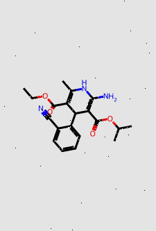 CCOC(=O)C1=C(C)NC(N)=C(C(=O)OC(C)C)C1c1ccccc1C#N